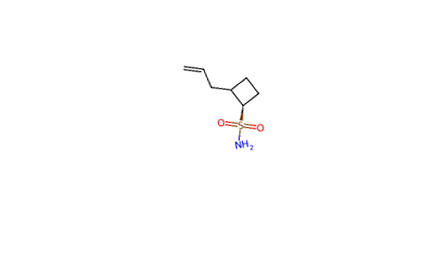 C=CCC1CC[C@H]1S(N)(=O)=O